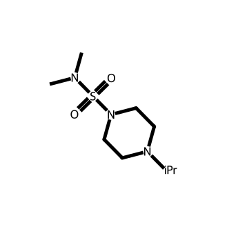 CC(C)N1CCN(S(=O)(=O)N(C)C)CC1